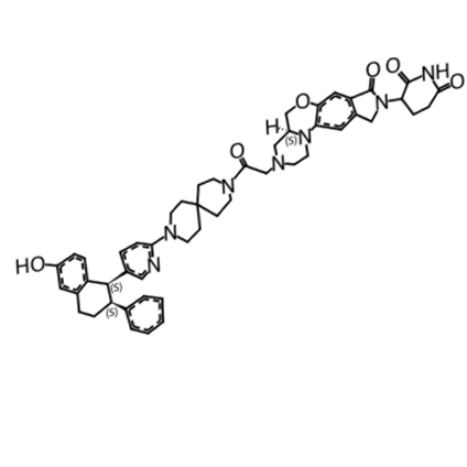 O=C1CCC(N2Cc3cc4c(cc3C2=O)OC[C@@H]2CN(CC(=O)N3CCC5(CC3)CCN(c3ccc([C@@H]6c7ccc(O)cc7CC[C@@H]6c6ccccc6)cn3)CC5)CCN42)C(=O)N1